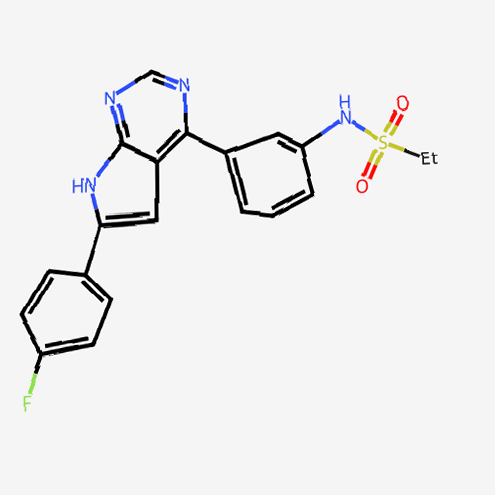 CCS(=O)(=O)Nc1cccc(-c2ncnc3[nH]c(-c4ccc(F)cc4)cc23)c1